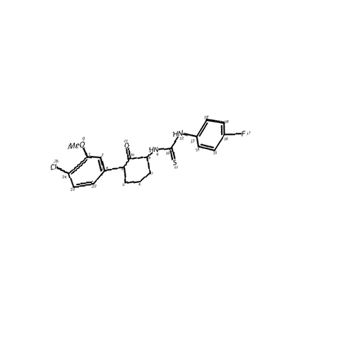 COc1cc(C2CCCC(NC(=S)Nc3ccc(F)cc3)C2=O)ccc1Cl